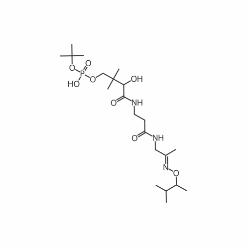 C/C(CNC(=O)CCNC(=O)C(O)C(C)(C)COP(=O)(O)OC(C)(C)C)=N\OC(C)C(C)C